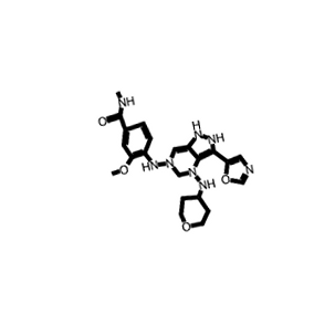 CNC(=O)c1ccc(NN2C=C3NNC(c4cnco4)=C3N(NC3CCOCC3)C2)c(OC)c1